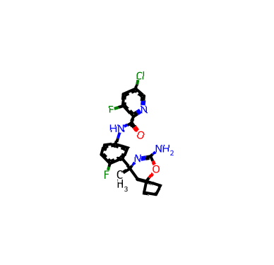 CC1(c2cc(NC(=O)c3ncc(Cl)cc3F)ccc2F)CC2(CCC2)OC(N)=N1